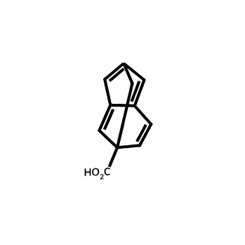 O=C(O)C12C=CC3=CC(=CC3=C1)C2